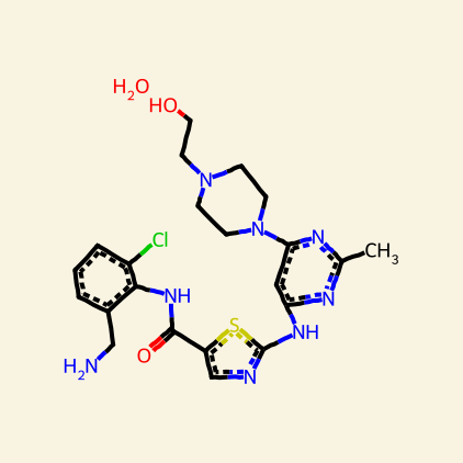 Cc1nc(Nc2ncc(C(=O)Nc3c(Cl)cccc3CN)s2)cc(N2CCN(CCO)CC2)n1.O